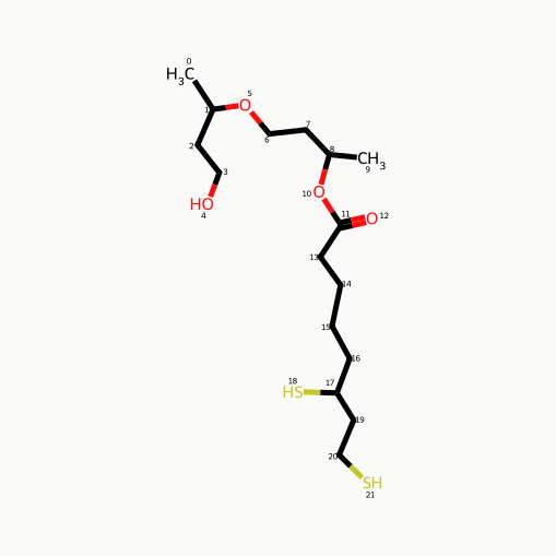 CC(CCO)OCCC(C)OC(=O)CCCCC(S)CCS